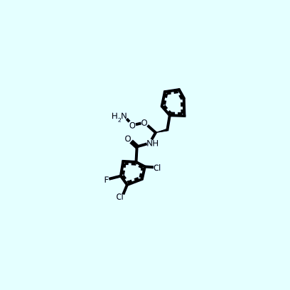 NOO[C@@H](Cc1ccccc1)NC(=O)c1cc(F)c(Cl)cc1Cl